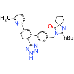 CCCCC1=NC2(CCCC2)C(=O)N1Cc1ccc(-c2cc(-c3cccc(C)n3)ccc2-c2nn[nH]n2)cc1